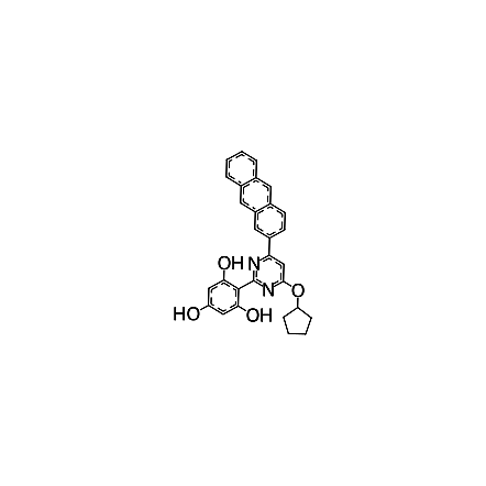 Oc1cc(O)c(-c2nc(OC3CCCC3)cc(-c3ccc4cc5ccccc5cc4c3)n2)c(O)c1